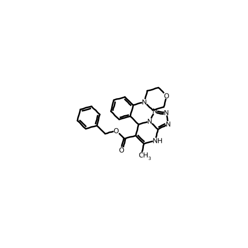 CC1=C(C(=O)OCc2ccccc2)C(c2ccccc2N2CCOCC2)n2nnnc2N1